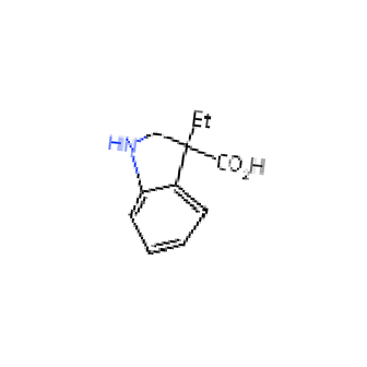 CCC1(C(=O)O)CNc2ccccc21